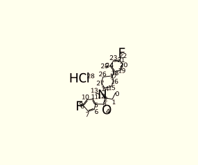 CCC(C(=O)c1ccc(F)cc1)N(C)C1CCC(c2ccc(F)cc2C)CC1.Cl